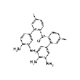 Cc1ccc([S+]([O-])c2ccc(C)cc2-c2ccc(N)c(N)c2)c(-c2ccc(N)c(N)c2)c1